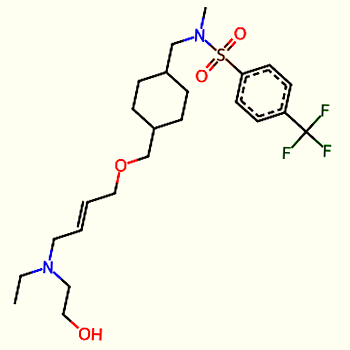 CCN(CC=CCOCC1CCC(CN(C)S(=O)(=O)c2ccc(C(F)(F)F)cc2)CC1)CCO